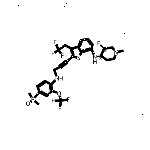 CN1CC[C@@H](Nc2cccc3c(CC(F)(F)F)c(C#CCNc4ccc(P(C)(C)=O)cc4OC(F)(F)F)sc23)[C@@H](F)C1